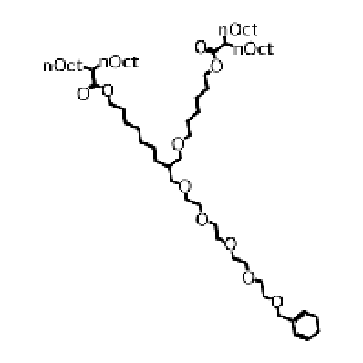 CCCCCCCCC(CCCCCCCC)C(=O)OCCCCCCCC(COCCCCCCOC(=O)C(CCCCCCCC)CCCCCCCC)COCCOCCOCCOCCOCC1=CCCC=C1